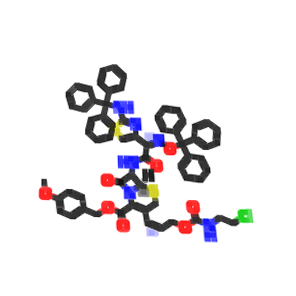 COc1ccc(COC(=O)C2=C(/C=C\COC(=O)NCCCl)CS[C@@H]3C(NC(=O)/C(=N\OC(c4ccccc4)(c4ccccc4)c4ccccc4)c4csc(NC(c5ccccc5)(c5ccccc5)c5ccccc5)n4)C(=O)N23)cc1